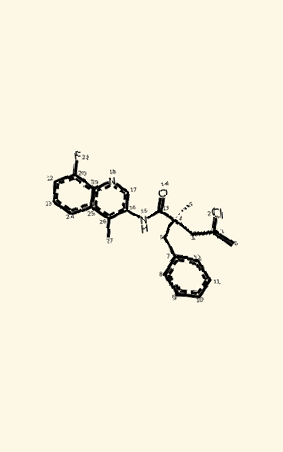 C=C(Cl)C[C@@](C)(Cc1ccccc1)C(=O)Nc1cnc2c(F)cccc2c1C